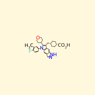 Cc1cc(-n2c(C3CCOCC3)c(C[C@H]3CC[C@H](C(=O)O)CC3)c3cc4[nH]ncc4cc32)ccc1F